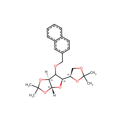 CC1(C)OC[C@H]([C@H]2O[C@@H]3OC(C)(C)O[C@H]3C2OCc2ccc3ccccc3c2)O1